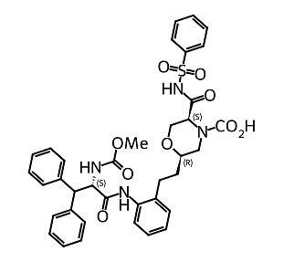 COC(=O)N[C@H](C(=O)Nc1ccccc1CC[C@@H]1CN(C(=O)O)[C@H](C(=O)NS(=O)(=O)c2ccccc2)CO1)C(c1ccccc1)c1ccccc1